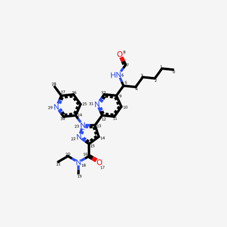 CCCCCC(NC=O)c1ccc(-c2cc(C(=O)N(C)CC)nn2-c2ccc(C)nc2)nc1